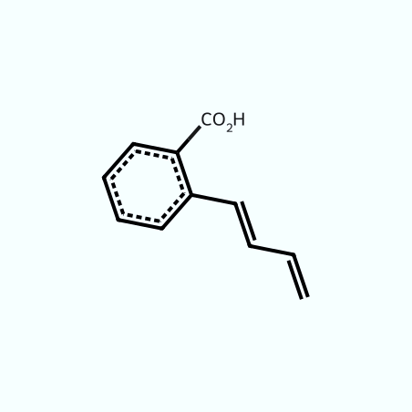 C=CC=Cc1ccccc1C(=O)O